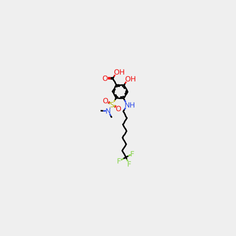 CN(C)S(=O)(=O)c1cc(C(=O)O)c(O)cc1NCCCCCCCC(F)(F)F